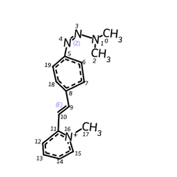 CN(C)/N=N\c1ccc(/C=C/c2cccc[n+]2C)cc1